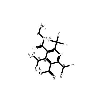 CCOC(=O)c1c(C(F)(F)F)nc(C(F)F)c(C(=O)Cl)c1C(C)C